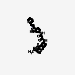 CN(C)C1CCN(Cc2ccc(NC(=O)CC(=O)Nc3ccc4c(/C=C/c5ccccn5)n[nH]c4c3)cc2C(F)(F)F)C1